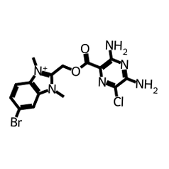 Cn1c(COC(=O)c2nc(Cl)c(N)nc2N)[n+](C)c2ccc(Br)cc21